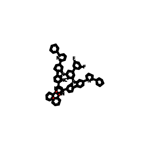 N#Cc1c(-n2c3cc(-c4cccc(-c5ccccc5)n4)ccc3c3ccc(-c4cccc(-c5ccccc5)n4)cc32)cc(-c2cc(F)cc(F)c2)cc1-n1c2cc(-c3cccc(-c4ccccc4)n3)ccc2c2ccc(-c3cccc(-c4ccccc4)n3)cc21